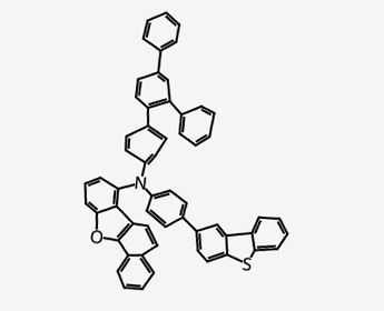 c1ccc(-c2ccc(-c3ccc(N(c4ccc(-c5ccc6sc7ccccc7c6c5)cc4)c4cccc5oc6c7ccccc7ccc6c45)cc3)c(-c3ccccc3)c2)cc1